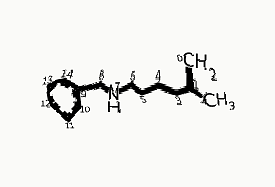 C=C(C)CCCCNCc1ccccc1